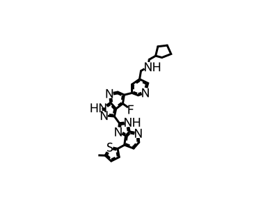 Cc1ccc(-c2ccnc3[nH]c(-c4n[nH]c5ncc(-c6cncc(CNCC7CCCC7)c6)c(F)c45)nc23)s1